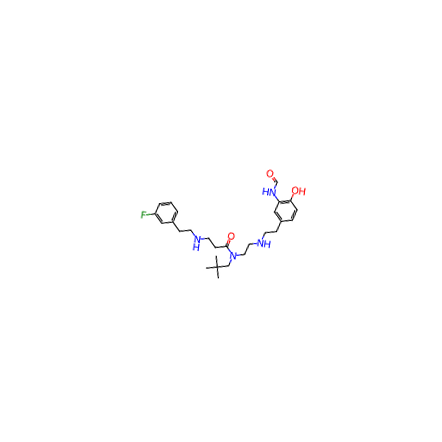 CC(C)(C)CN(CCNCCc1ccc(O)c(NC=O)c1)C(=O)CCNCCc1cccc(F)c1